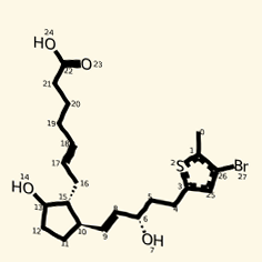 Cc1sc(CC[C@H](O)C=C[C@H]2CCC(O)[C@@H]2CC=CCCCC(=O)O)cc1Br